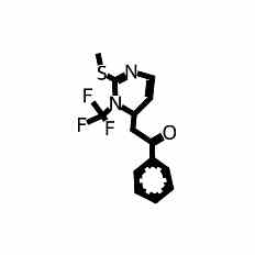 CSC1=NC=CC(CC(=O)c2ccccc2)N1C(F)(F)F